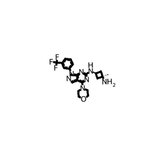 C[C@]1(N)C[C@@H](Nc2nc(N3CCOCC3)c3cnn(-c4cccc(C(F)(F)F)c4)c3n2)C1